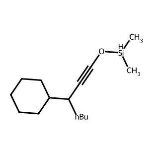 CCCCC(C#CO[SiH](C)C)C1CCCCC1